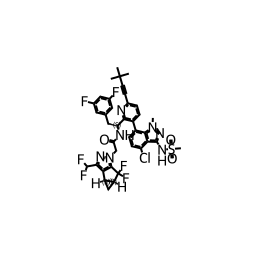 Cn1nc(NS(C)(=O)=O)c2c(Cl)ccc(-c3ccc(C#CC(C)(C)C)nc3[C@H](Cc3cc(F)cc(F)c3)NC(=O)Cn3nc(C(F)F)c4c3C(F)(F)[C@@H]3C[C@H]43)c21